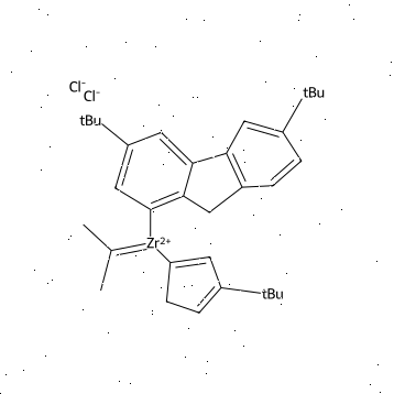 C[C](C)=[Zr+2]([C]1=CC(C(C)(C)C)=CC1)[c]1cc(C(C)(C)C)cc2c1Cc1ccc(C(C)(C)C)cc1-2.[Cl-].[Cl-]